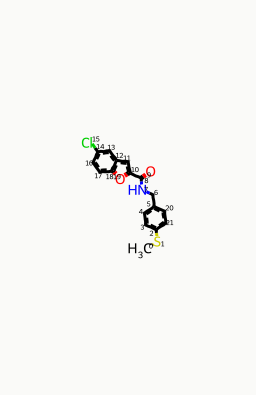 CSc1ccc(CNC(=O)c2cc3cc(Cl)ccc3o2)cc1